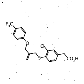 C=C(COc1ccc(C(F)(F)F)cc1)CSc1ccc(CC(=O)O)cc1Cl